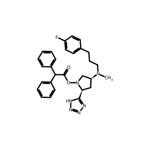 CN(CCCc1ccc(F)cc1)[C@H]1C[C@@H](c2nnn[nH]2)N(OC(=O)C(c2ccccc2)c2ccccc2)C1